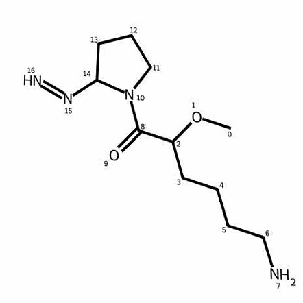 COC(CCCCN)C(=O)N1CCCC1N=N